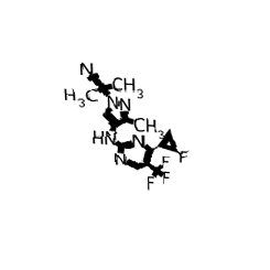 Cc1nn(C(C)(C)C#N)cc1Nc1ncc(C(F)(F)F)c([C@@H]2C[C@@H]2F)n1